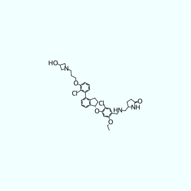 CCOc1cc(O[C@H]2CCc3c(-c4cccc(OCCCN5CC(O)C5)c4Cl)cccc32)c(Cl)cc1CNCC1CCC(=O)N1